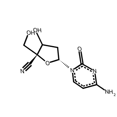 N#C[C@]1(CO)O[C@@H](n2ccc(N)nc2=O)CC1O